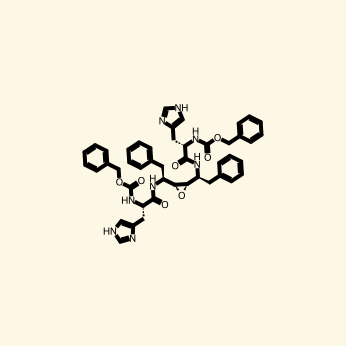 O=C(N[C@@H](Cc1c[nH]cn1)C(=O)N[C@@H](Cc1ccccc1)[C@@H]1O[C@@H]1[C@H](Cc1ccccc1)NC(=O)[C@H](Cc1c[nH]cn1)NC(=O)OCc1ccccc1)OCc1ccccc1